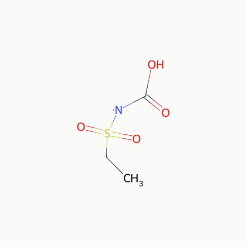 CCS(=O)(=O)[N]C(=O)O